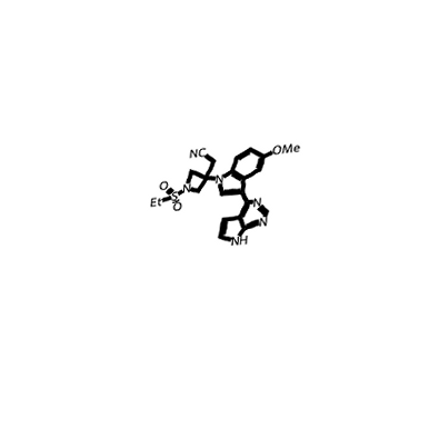 CCS(=O)(=O)N1CC(CC#N)(n2cc(-c3ncnc4[nH]ccc34)c3cc(OC)ccc32)C1